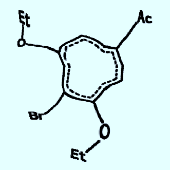 CCOc1cc(C(C)=O)cc(OCC)c1Br